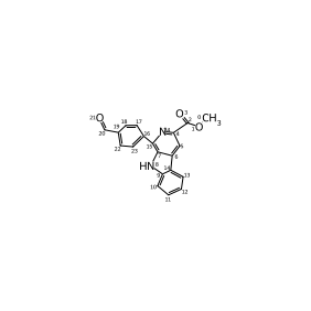 COC(=O)c1cc2c([nH]c3ccccc32)c(-c2ccc(C=O)cc2)n1